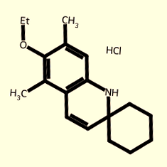 CCOc1c(C)cc2c(c1C)C=CC1(CCCCC1)N2.Cl